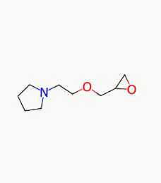 C1CCN(CCOCC2CO2)C1